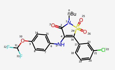 CCCCN1C(=O)C(Nc2ccc(OC(F)F)cc2)=C(c2cccc(Cl)c2)S1(=O)=O